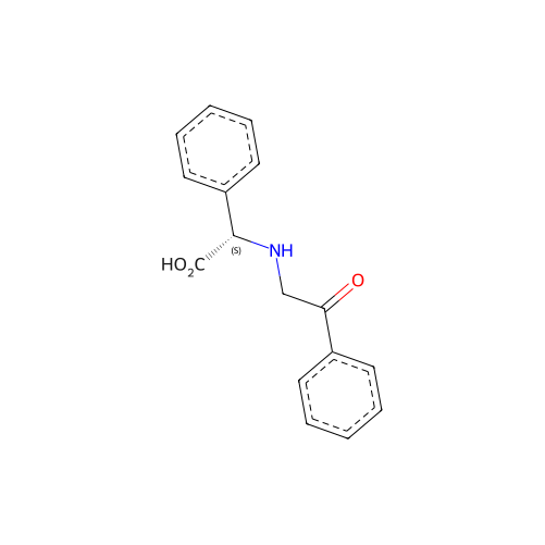 O=C(CN[C@H](C(=O)O)c1ccccc1)c1ccccc1